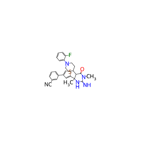 CN1C(=N)NC(C)(c2cc(-c3cccc(C#N)c3)cs2)C(C2CCN(c3ccccc3F)CC2)C1=O